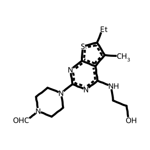 CCc1sc2nc(N3CCN(C=O)CC3)nc(NCCO)c2c1C